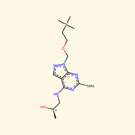 CSc1nc(NC[C@@H](C)O)c2cnn(COCC[Si](C)(C)C)c2n1